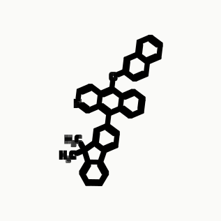 CC1(C)c2ccccc2-c2ccc(-c3c4ccccc4c(Oc4ccc5ccccc5c4)c4ccncc34)cc21